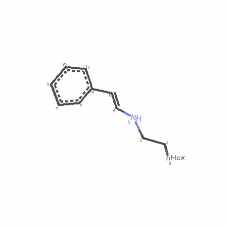 CCCCCCCCNC=Cc1ccccc1